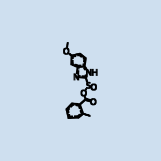 COc1ccc2[nH]c(S(=O)OC(=O)c3ccccc3C)nc2c1